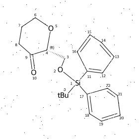 CC(C)(C)[Si](OC[C@H]1OCCCC1=O)(c1ccccc1)c1ccccc1